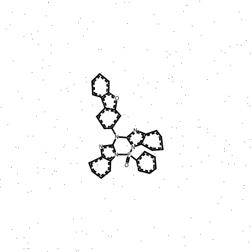 O=P1(c2ccccc2)n2c(nc3ccccc32)N(c2ccc3c(c2)oc2ccccc23)c2nc3ccccc3n21